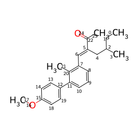 CCC(C)C/C(=C\c1cccc(-c2ccc(OC)cc2)c1C)C(C)=O